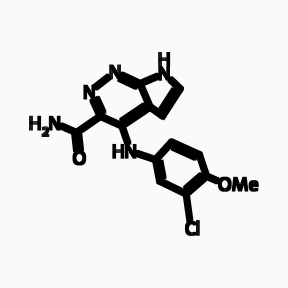 COc1ccc(Nc2c(C(N)=O)nnc3[nH]ccc23)cc1Cl